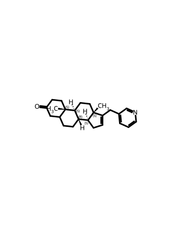 C[C@]12CCC(=O)CC1CC[C@@H]1[C@@H]2CC[C@]2(C)C(Cc3cccnc3)=CC[C@@H]12